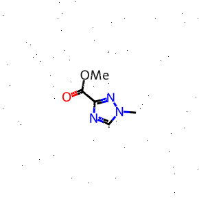 COC(=O)c1n[c]n(C)n1